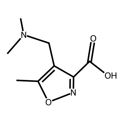 Cc1onc(C(=O)O)c1CN(C)C